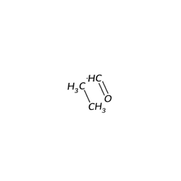 CC.[CH]=O